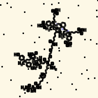 CC1(C)C(/C=C/C2=C(c3ccc(CCCCC(=O)NCCOCCOCCN(C(=O)C[C@H](NC(=O)C[C@H](NC(=O)CCC(C)(c4ccc(O)cc4)c4ccc(O)cc4)C(=O)O)C(=O)O)[C@@H](CCCCn4cc(CCCC(=O)Nc5nnc(S(N)(=O)=O)s5)nn4)C(N)=O)cc3)C(=C/C=C3/N(CCCCS(=O)(=O)O)c4ccc(S(=O)(=O)O)cc4C3(C)C)/CCC2)=[N+](CCCCS(=O)(=O)O)c2ccc(S(=O)(=O)O)cc21